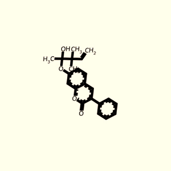 C=CC(C)(C)C(C)(O)Oc1ccc2cc(-c3ccccc3)c(=O)oc2c1